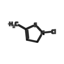 [CH2]C1=CCN(Cl)S1